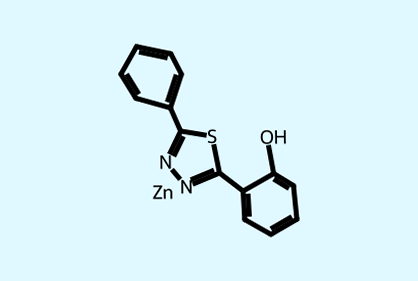 Oc1ccccc1-c1nnc(-c2ccccc2)s1.[Zn]